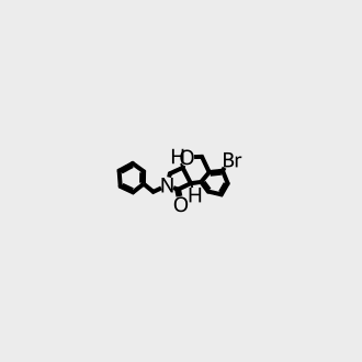 O=C1[C@@H]2c3cccc(Br)c3CO[C@@H]2CN1Cc1ccccc1